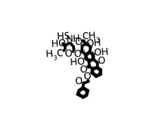 CC(=O)[C@]1(O)Cc2c(O)c3c(c(O)c2[C@@H](OC2CC(NS)C(O)C(C)O2)C1)C(=O)c1c(OCC(=O)c2ccccc2)cccc1C3=O